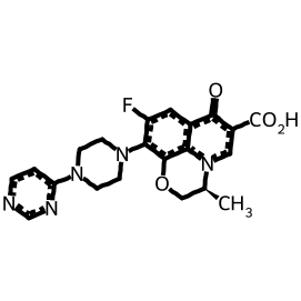 C[C@H]1COc2c(N3CCN(c4ccncn4)CC3)c(F)cc3c(=O)c(C(=O)O)cn1c23